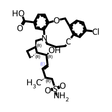 C[C@H](/C=C/[C@H](O)[C@@H]1CC[C@H]1CN1CCCCc2cc(Cl)ccc2COc2ccc(C(=O)O)cc21)CS(N)(=O)=O